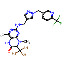 Cc1nc(NCc2cnn(Cc3ccc(C(F)(F)F)nc3)c2)nc2c1NC(=O)C(C(S)(S)S)N2C